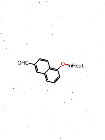 CCCCCCCOc1cccc2cc(C=O)ccc12